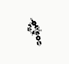 CC(Cn1cnnn1)Oc1cc(-c2cnc(Nc3cn([C@H]4CC[C@@H](N5CCOCC5)CC4)nc3OCC(F)(F)F)nc2)ccc1C#N